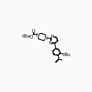 C=C(C)c1ccc(-c2ccnc(N3CCN(C(=O)OC(C)(C)C)CC3)n2)cc1C(C)(C)C